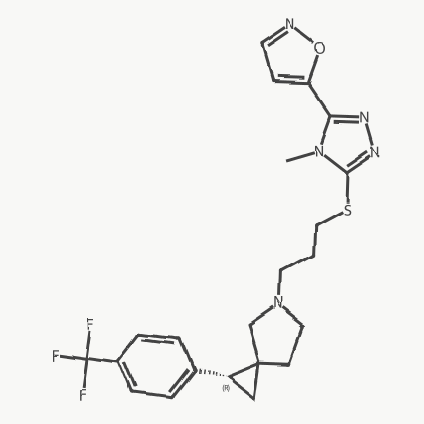 Cn1c(SCCCN2CCC3(C[C@@H]3c3ccc(C(F)(F)F)cc3)C2)nnc1-c1ccno1